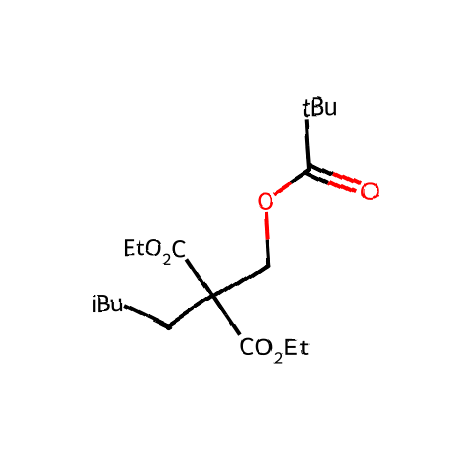 CCOC(=O)C(COC(=O)C(C)(C)C)(CC(C)CC)C(=O)OCC